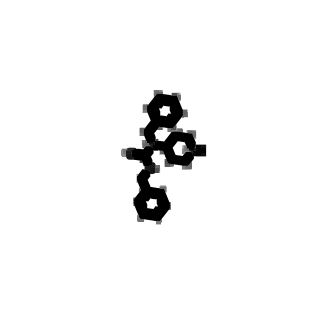 O=C(OCc1ccccc1)N(Cc1ccccc1)C1CCNCC1